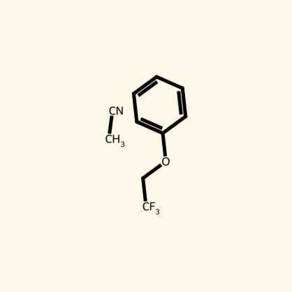 CC#N.FC(F)(F)COc1ccccc1